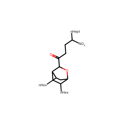 [CH2]CCCCCCC(CCC(=O)[C]1OC2CC(CCCCCC)C1CC2CCCCCC)[N+](=O)[O-]